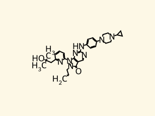 C=CCn1c(=O)c2cnc(Nc3ccc(N4CCN(C5CC5)CC4)cc3)nc2n1-c1cccc(CC(C)(C)O)n1